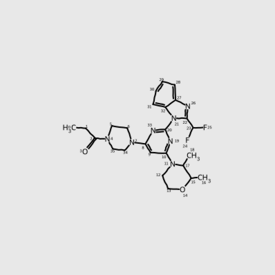 CCC(=O)N1CCN(c2cc(N3CCOC(C)C3C)nc(-n3c(C(F)F)nc4ccccc43)n2)CC1